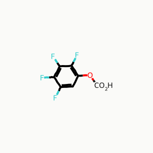 O=C(O)Oc1cc(F)c(F)c(F)c1F